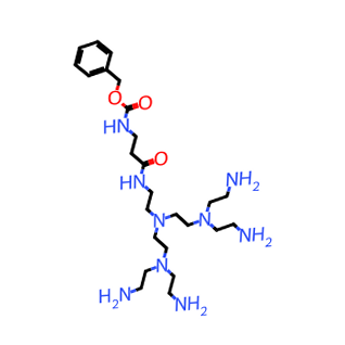 NCCN(CCN)CCN(CCNC(=O)CCNC(=O)OCc1ccccc1)CCN(CCN)CCN